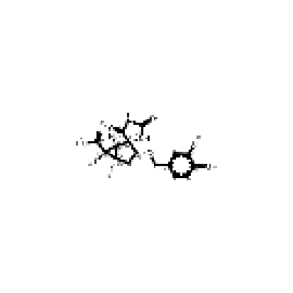 O=C1NC(=O)[C@@]2(N1)[C@H](OCc1ccc(Cl)c(Cl)c1)C[C@@H]1[C@H]2[C@@]1(F)C(=O)O